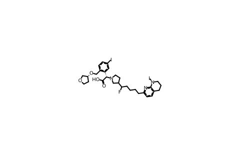 O=C(O)[C@H](c1cc(I)ccc1CO[C@@H]1CCOC1)N1CCC(C(F)CCCCc2ccc3c(n2)N(I)CCC3)C1